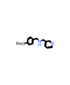 COc1ccc(CNCc2cccnc2)cc1